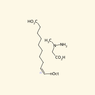 CCCCCCCC/C=C\CCCCCCCC(=O)O.CN(N)CC(=O)O